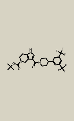 CC(C)(C)OC(=O)N1CCc2[nH]nc(C(=O)N3CCC(c4cc(C(F)(F)F)cc(C(F)(F)F)c4)CC3)c2C1